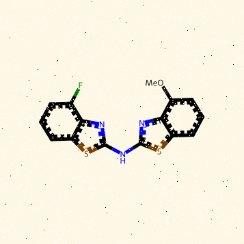 COc1cccc2sc(Nc3nc4c(F)cccc4s3)nc12